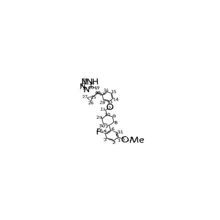 COc1ccc(F)c(C2CCC(COc3cccc([C@@H](Cc4nnn[nH]4)C4CC4)c3)CC2)c1